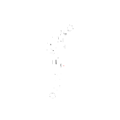 CC(C)C1=C2[C@H]3CC[C@@H]4[C@@]5(C)CC[C@H](OC(=O)[C@H]6C[C@@H](C(=O)OCc7ccccc7)C6(C)C)C(C)(C)[C@@H]5CC[C@@]4(C)[C@]3(C)CC[C@@]2([C@@H](O)CNC(=O)C(C)(C)NC(=O)c2ccc(Cl)cc2)CC1=O